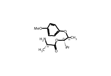 COc1ccc(O[C@@H](C)[C@@H](OC(=O)[C@H](C)N)C(C)C)cc1